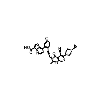 Cc1nc2cnc(N3CCN(C4CC4)CC3)c(C#N)c2c(=O)n1CC#Cc1ccc(Cl)cc1-c1ccnc2c(C(=O)O)csc12